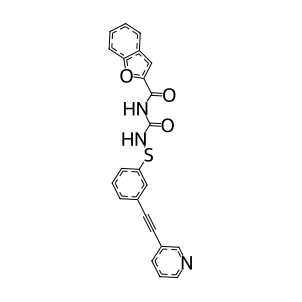 O=C(NSc1cccc(C#Cc2cccnc2)c1)NC(=O)c1cc2ccccc2o1